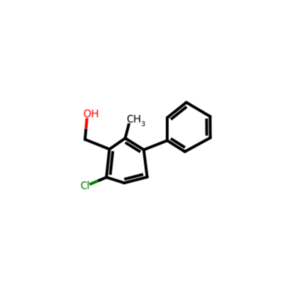 Cc1c(-c2ccccc2)ccc(Cl)c1CO